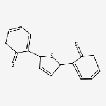 S=C1CC=CC=C1C1C=CC(C2=CC=CCC2=S)S1